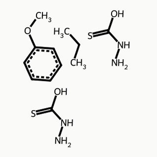 CCC.COc1ccccc1.NNC(O)=S.NNC(O)=S